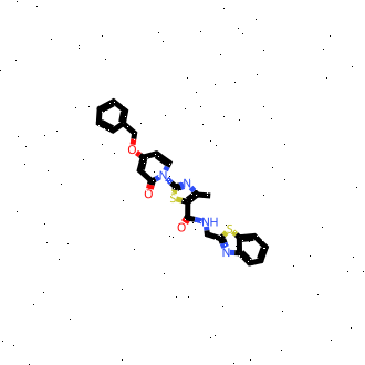 Cc1nc(-n2ccc(OCc3ccccc3)cc2=O)sc1C(=O)NCc1nc2ccccc2s1